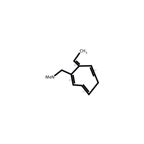 C/C=C1\C=C/C/C=C/C=C\1CNC